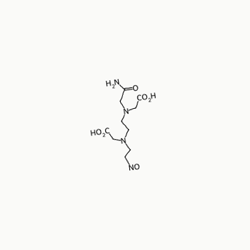 NC(=O)CN(CCN(CCN=O)CC(=O)O)CC(=O)O